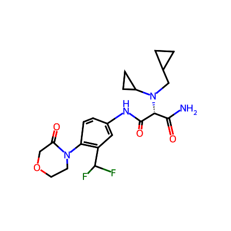 NC(=O)[C@H](C(=O)Nc1ccc(N2CCOCC2=O)c(C(F)F)c1)N(CC1CC1)C1CC1